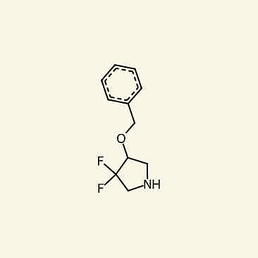 FC1(F)CNCC1OCc1ccccc1